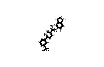 CC(C)c1cccc(-c2ccc(C(=O)Nc3ccc4c(c3)CCC4)cn2)c1